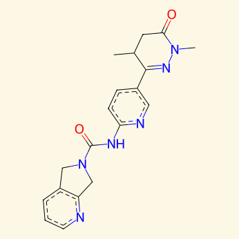 CC1CC(=O)N(C)N=C1c1ccc(NC(=O)N2Cc3cccnc3C2)nc1